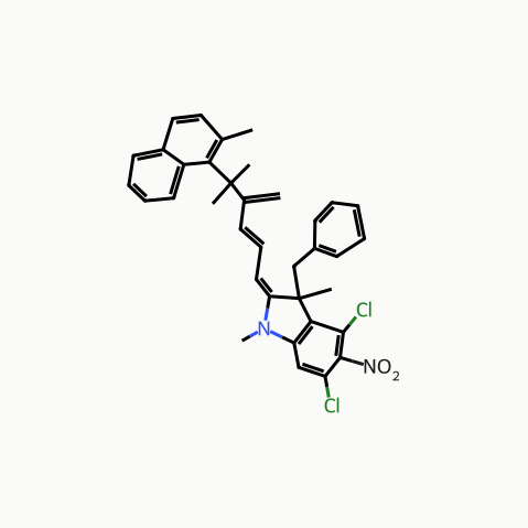 C=C(/C=C/C=C1/N(C)c2cc(Cl)c([N+](=O)[O-])c(Cl)c2C1(C)Cc1ccccc1)C(C)(C)c1c(C)ccc2ccccc12